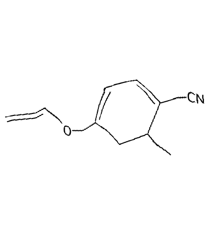 C=COC1=CC=C(C#N)C(C)C1